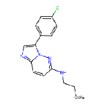 COCCNc1ccc2ncc(-c3ccc(Cl)cc3)n2n1